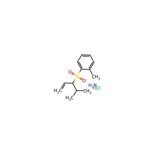 C=CC(C(C)C)S(=O)(=O)c1ccccc1C.Cl.N